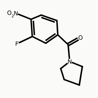 O=C(c1ccc([N+](=O)[O-])c(F)c1)N1CCCC1